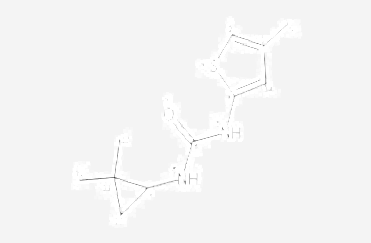 Cc1csc(NC(=O)NC2CC2(C)C)c1